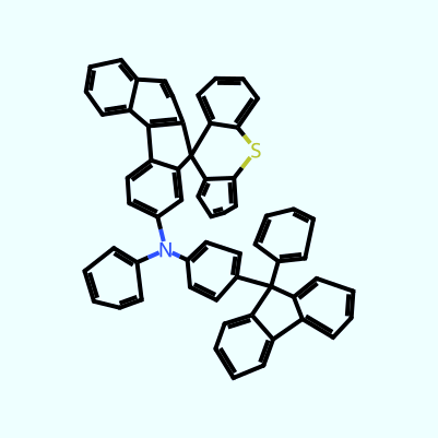 c1ccc(N(c2ccc(C3(c4ccccc4)c4ccccc4-c4ccccc43)cc2)c2ccc3c(c2)C2(c4ccccc4Sc4ccccc42)c2ccc4ccccc4c2-3)cc1